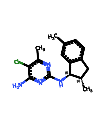 Cc1ccc2c(c1)[C@H](Nc1nc(C)c(Cl)c(N)n1)[C@@H](C)C2